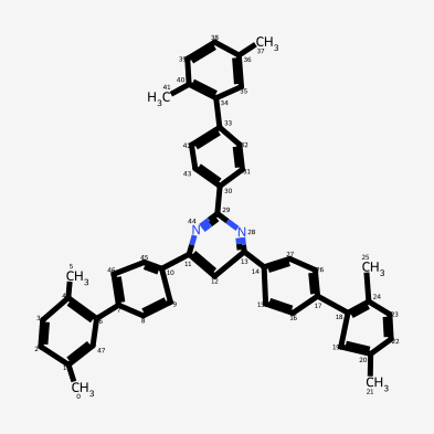 Cc1ccc(C)c(-c2ccc(-c3cc(-c4ccc(-c5cc(C)ccc5C)cc4)nc(-c4ccc(-c5cc(C)ccc5C)cc4)n3)cc2)c1